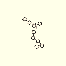 c1ccc(-c2nc(-c3ccc(-c4cccnc4)cc3)cc(-c3ccc(-c4cccc(-c5ccc6c(c5)C5(CCCCC5)c5ccccc5-6)c4)cc3)n2)cc1